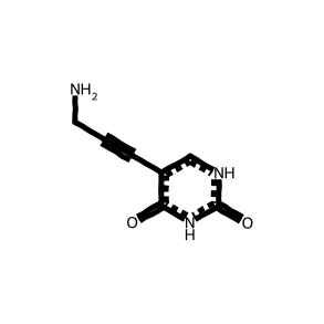 NCC#Cc1c[nH]c(=O)[nH]c1=O